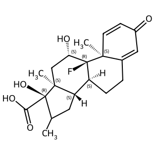 CC1C[C@H]2[C@@H]3CCC4=CC(=O)C=C[C@]4(C)[C@@]3(F)[C@@H](O)C[C@]2(C)[C@@]1(O)C(=O)O